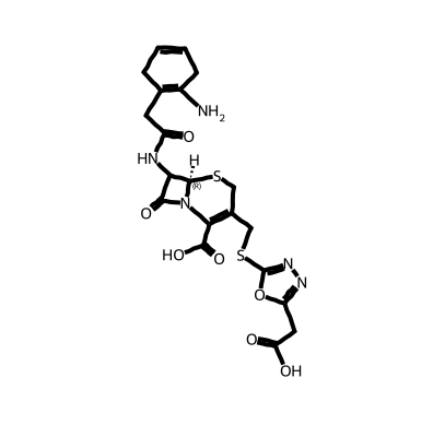 NC1=C(CC(=O)NC2C(=O)N3C(C(=O)O)=C(CSc4nnc(CC(=O)O)o4)CS[C@H]23)CC=CC1